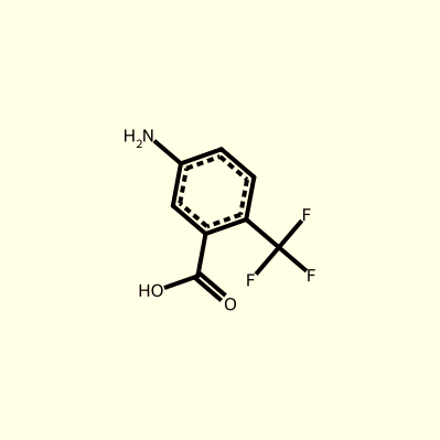 Nc1ccc(C(F)(F)F)c(C(=O)O)c1